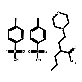 CCCC(CCN1CCOCC1)C(N)=O.Cc1ccc(S(=O)(=O)O)cc1.Cc1ccc(S(=O)(=O)O)cc1